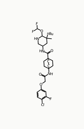 CCCCC1(C)CC(NC(=O)C23CCC(NC(=O)COc4ccc(Cl)c(F)c4)(CC2)CC3)CNC1OC(F)F